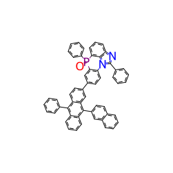 O=P1(c2ccccc2)c2cc(-c3ccc4c(-c5ccccc5)c5ccccc5c(-c5ccc6ccccc6c5)c4c3)ccc2-n2c(-c3ccccc3)nc3cccc1c32